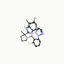 Cc1c(Cl)ccc2[nH]c(C3(C)CCCN3C(=O)c3c(F)cccc3-n3nccn3)nc12